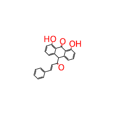 O=C1c2c(O)cccc2C(C(=O)C=Cc2ccccc2)c2cccc(O)c21